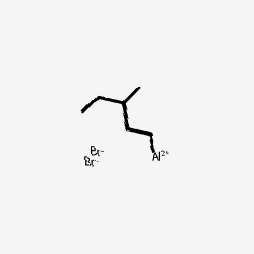 CCC(C)C[CH2][Al+2].[Br-].[Br-]